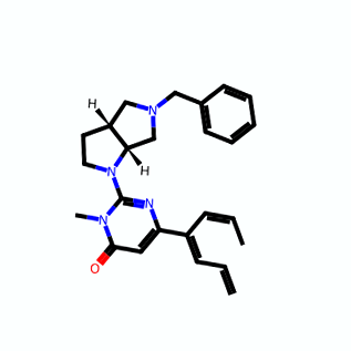 C=C/C=C(\C=C/C)c1cc(=O)n(C)c(N2CC[C@@H]3CN(Cc4ccccc4)C[C@@H]32)n1